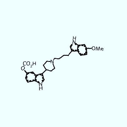 COc1ccc2c(CCCCN3CCC(c4c[nH]c5ccc(OC(=O)O)cc45)CC3)c[nH]c2c1